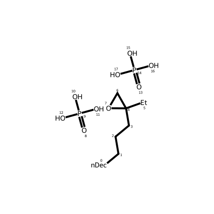 CCCCCCCCCCCCCC1(CC)CO1.O=P(O)(O)O.O=P(O)(O)O